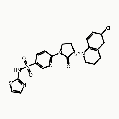 O=C1[C@@H](N2CCCC3=C2C=CC(Cl)C3)CCN1c1ccc(S(=O)(=O)Nc2nccs2)cn1